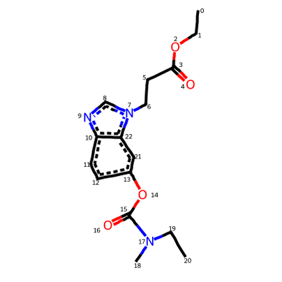 CCOC(=O)CCn1cnc2ccc(OC(=O)N(C)CC)cc21